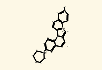 Cc1ccc2c(ccc3n4c(ccc5cc(N6CCCCC6)ccc54)c[n+]23)c1.[I-]